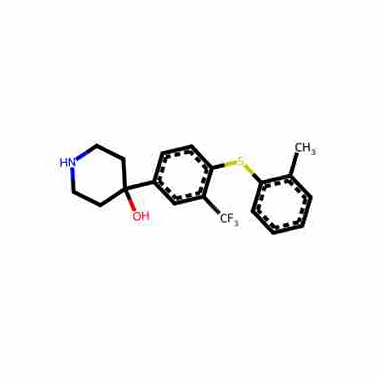 Cc1ccccc1Sc1ccc(C2(O)CCNCC2)cc1C(F)(F)F